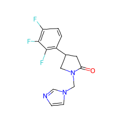 O=C1CC(c2ccc(F)c(F)c2F)CN1Cn1ccnc1